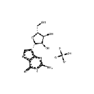 Nc1nc2c(ncn2[C@@H]2O[C@H](CO)[C@@H](O)[C@H]2O)c(=O)[nH]1.[O-][I+3]([O-])([O-])O